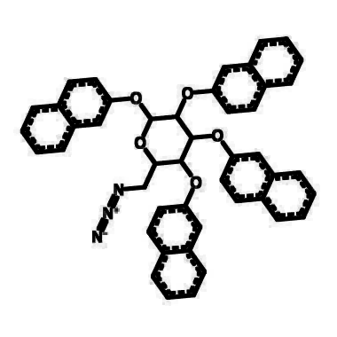 [N-]=[N+]=NCC1OC(Oc2ccc3ccccc3c2)C(Oc2ccc3ccccc3c2)C(Oc2ccc3ccccc3c2)C1Oc1ccc2ccccc2c1